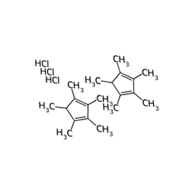 CC1=C(C)C(C)C(C)=C1C.CC1=C(C)C(C)C(C)=C1C.Cl.Cl.Cl